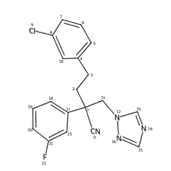 N#CC(CCc1cccc(Cl)c1)(Cn1cncn1)c1cccc(F)c1